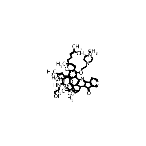 CC(C)=CCCC1(C)C=Cc2c(c(CC=C(C)C)c3c(c2OCCN2CCN(C)CC2)C2=C4C(C5CC6C(C)(C)OC(C/C=C(/C)C(=O)NCCO)(C5=O)C46O3)C3C(=O)c4ccccc4C3=N2)O1